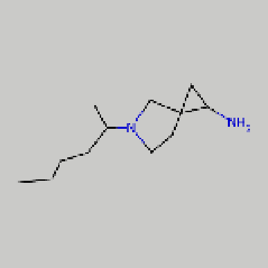 CCCCC(C)N1CCC2(CC2N)C1